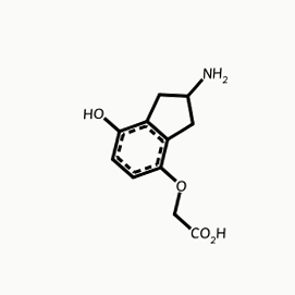 NC1Cc2c(O)ccc(OCC(=O)O)c2C1